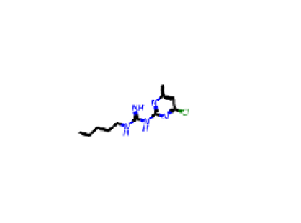 CCCCCNC(=N)Nc1nc(C)cc(Cl)n1